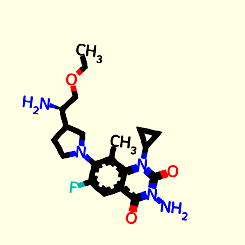 CCOC[C@H](N)C1CCN(c2c(F)cc3c(=O)n(N)c(=O)n(C4CC4)c3c2C)C1